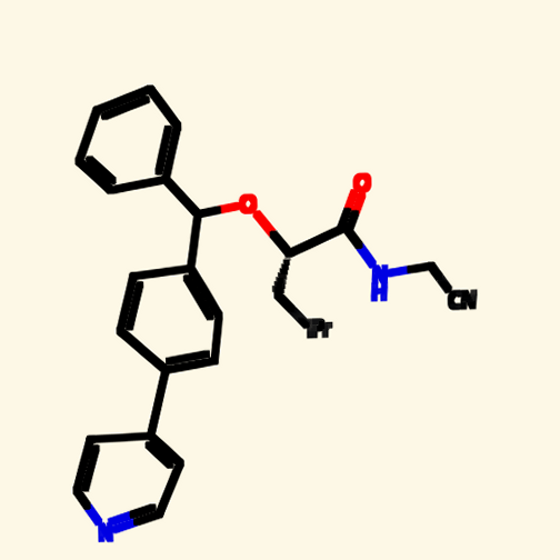 CC(C)C[C@H](OC(c1ccccc1)c1ccc(-c2ccncc2)cc1)C(=O)NCC#N